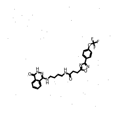 O=C(CCc1nc(-c2ccc(OC(F)(F)F)cc2)no1)NCCCCNc1n[nH]c(=O)c2ccccc12